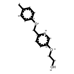 Cc1ccc(OCc2ccc(OCCO)cn2)cc1